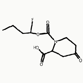 CCCC(F)OC(=O)N1CCC(=O)CC1C(=O)O